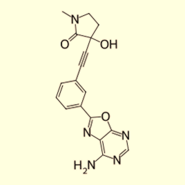 CN1CCC(O)(C#Cc2cccc(-c3nc4c(N)ncnc4o3)c2)C1=O